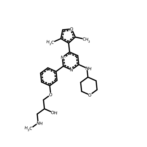 CNCC(O)COc1cccc(-c2nc(NC3CCOCC3)cc(-c3c(C)coc3C)n2)c1